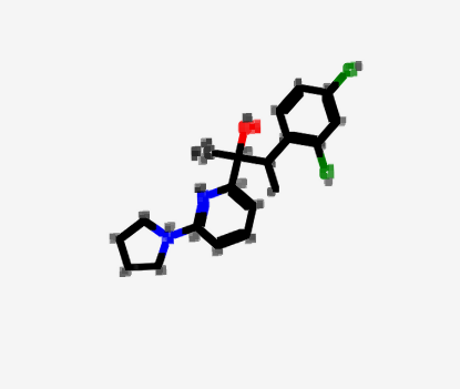 CC(c1ccc(Cl)cc1Cl)C(O)(c1cccc(N2CCCC2)n1)C(F)(F)F